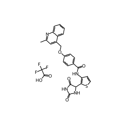 Cc1cc(COc2ccc(C(=O)Nc3ccsc3C3NC(=O)NC3=O)cc2)c2ccccc2n1.O=C(O)C(F)(F)F